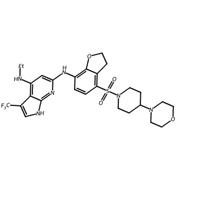 CCNc1cc(Nc2ccc(S(=O)(=O)N3CCC(N4CCOCC4)CC3)c3c2OCC3)nc2[nH]cc(C(F)(F)F)c12